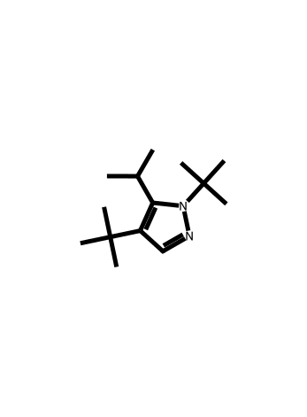 CC(C)c1c(C(C)(C)C)cnn1C(C)(C)C